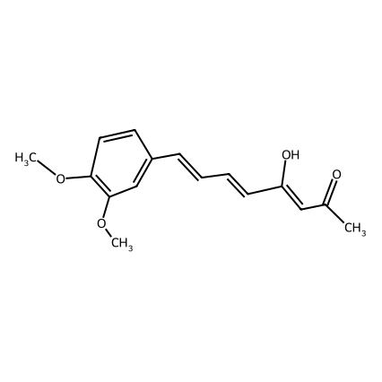 COc1ccc(/C=C/C=C/C(O)=C/C(C)=O)cc1OC